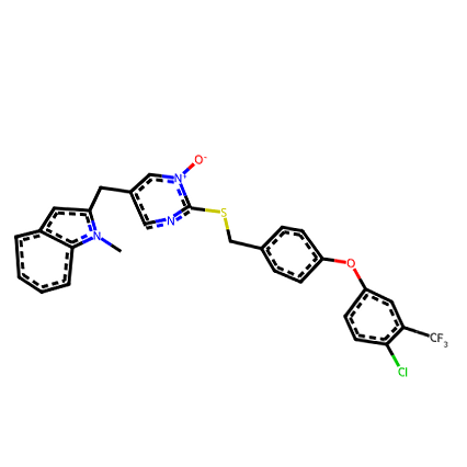 Cn1c(Cc2cnc(SCc3ccc(Oc4ccc(Cl)c(C(F)(F)F)c4)cc3)[n+]([O-])c2)cc2ccccc21